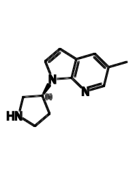 Cc1cnc2c(ccn2[C@H]2CCNC2)c1